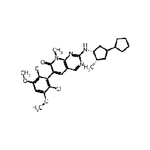 COc1cc(OC)c(Cl)c(-c2cc3cnc(N[C@@H]4CC(C5CCCC5)C[C@@H]4C)nc3n(C)c2=O)c1Cl